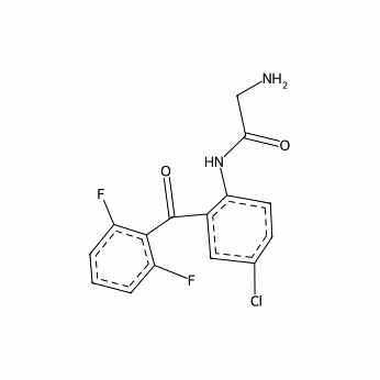 NCC(=O)Nc1ccc(Cl)cc1C(=O)c1c(F)cccc1F